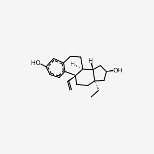 C=C[C@]12CC[C@]3(CC)C[C@H](O)C[C@H]3[C@@H]1CCc1cc(O)ccc12